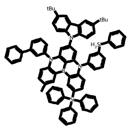 Cc1ccc2c(c1)B1c3cc([Si](c4ccccc4)(c4ccccc4)c4ccccc4)ccc3N(c3cccc([SiH2]c4ccccc4)c3)c3cc(-n4c5ccc(C(C)(C)C)cc5c5cc(C(C)(C)C)ccc54)cc(c31)N2c1cccc(-c2ccccc2)c1